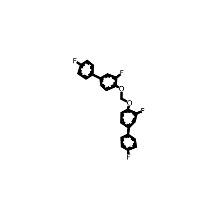 Fc1ccc(-c2ccc(OCOc3ccc(-c4ccc(F)cc4)cc3F)c(F)c2)cc1